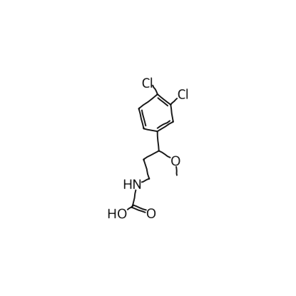 COC(CCNC(=O)O)c1ccc(Cl)c(Cl)c1